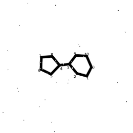 [CH]1CCC(C2CCCC2)CC1